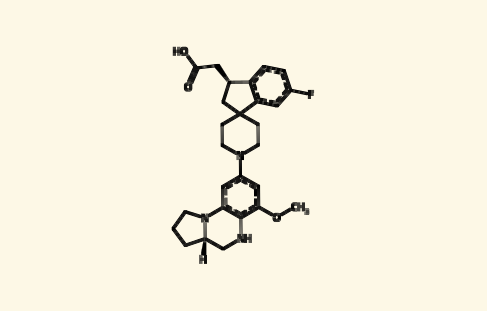 COc1cc(N2CCC3(CC2)C[C@@H](CC(=O)O)c2ccc(F)cc23)cc2c1NC[C@@H]1CCCN21